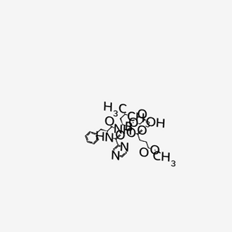 COC(=O)CCC(=O)OB(OCC(=O)O)[C@H](CC(C)C)NC(=O)[C@H](Cc1ccccc1)NC(=O)c1cnccn1